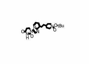 CC(C)(C)OC(=O)N1CCC(CCc2cccn3c(N4CCC(=O)NC4=O)cnc23)CC1